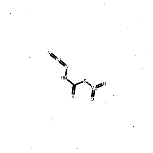 [N-]=[N+]=NNC(=S)[S][Mo](=[O])=[O]